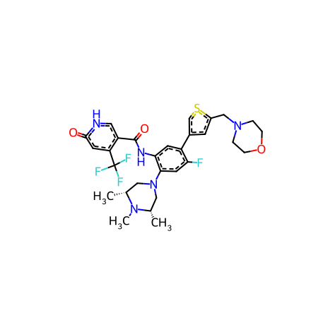 C[C@@H]1CN(c2cc(F)c(-c3csc(CN4CCOCC4)c3)cc2NC(=O)c2c[nH]c(=O)cc2C(F)(F)F)C[C@H](C)N1C